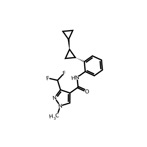 Cn1cc(C(=O)Nc2ccccc2[C@@H]2C[C@H]2C2CC2)c(C(F)F)n1